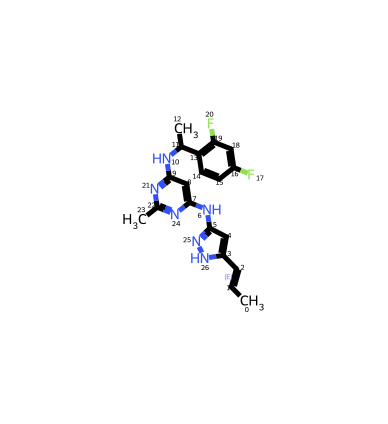 C/C=C/c1cc(Nc2cc(NC(C)c3ccc(F)cc3F)nc(C)n2)n[nH]1